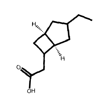 CCC1C[C@@H]2CC(CC(=O)O)[C@@H]2C1